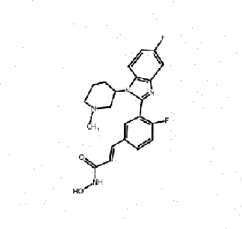 CN1CCCC(n2c(-c3cc(/C=C/C(=O)NO)ccc3F)nc3cc(F)ccc32)C1